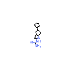 N=C(N)Nc1ccc2c(n1)CCC(c1ccccc1)C2